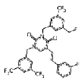 O=c1c(/C=C/c2cccc(F)c2)cn(Cc2cc(C(F)(F)F)cc(C(F)(F)F)c2)c(=O)n1Cc1cc(CF)cc(C(F)(F)F)c1